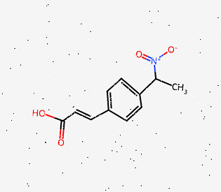 CC(c1ccc(/C=C/C(=O)O)cc1)[N+](=O)[O-]